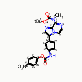 CN(C(=O)OC(C)(C)C)c1nccn2c(-c3ccc(NC(=O)Oc4ccc([N+](=O)[O-])cc4)cc3)cnc12